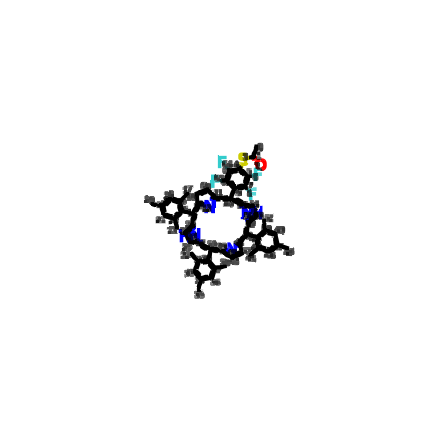 CC(=O)Sc1c(F)c(F)c(-c2c3nc(c(-c4c(C)cc(C)cc4C)c4ccc([nH]4)c(-c4c(C)cc(C)cc4C)c4nc(c(-c5c(C)cc(C)cc5C)c5ccc2[nH]5)C=C4)C=C3)c(F)c1F